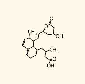 CC(CC(=O)O)CC1CCC=C2C=CC(C)C(CCC3CC(O)CC(=O)O3)C21